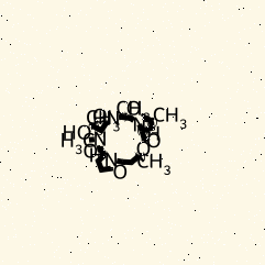 C[C@H]1C[C@H]2C(=O)O[C@@H](C)CC(=O)N3CCC[C@H]3C(=O)N(C)[C@@H]([C@@H](C)O)C(=O)N[C@@H](C)C(=O)N2C1